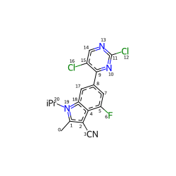 Cc1c(C#N)c2c(F)cc(-c3nc(Cl)ncc3Cl)cc2n1C(C)C